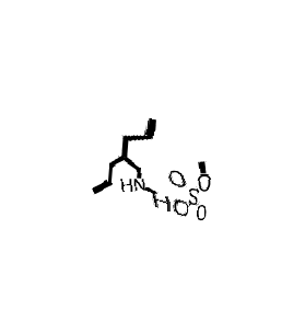 C=CCC(CC=C)CNC.COS(=O)(=O)O